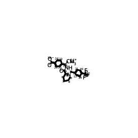 C[C@H](NC(=O)C1CCCCN1Cc1ccc(C(F)(F)F)cc1)c1ccc(C(=O)[O-])cc1.[Li+]